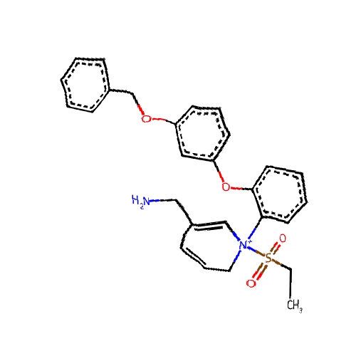 CCS(=O)(=O)[N+]1(c2ccccc2Oc2cccc(OCc3ccccc3)c2)C=C(CN)C=CC1